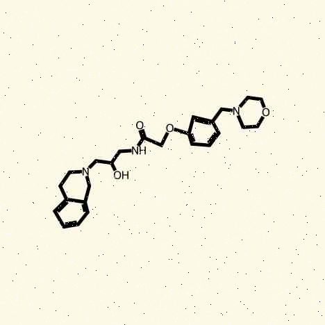 O=C(COc1cccc(CN2CCOCC2)c1)NCC(O)CN1CCc2ccccc2C1